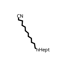 CCCCCCCCCCCCCCCCCCC#N